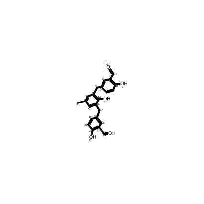 Cc1cc(Cc2ccc(O)c(C=O)c2)c(O)c(Cc2ccc(O)c(C=O)c2)c1